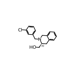 OC[C@@H]1Cc2ccccc2CN1Cc1cccc(Cl)c1